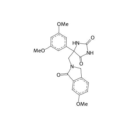 COc1cc(OC)cc(C2(CN3Cc4ccc(OC)cc4C3=O)NC(=O)NC2=O)c1